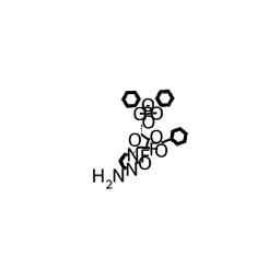 Nc1ccn([C@@H]2O[C@H](COP(=O)(Oc3ccccc3)Oc3ccccc3)[C@@H](OC(=O)c3ccccc3)C2(F)F)c(=O)n1